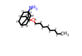 CCCCCCCCOC12CC3CC(CC(N)(C3)C1)C2